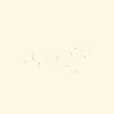 CC1=CN(C(=O)C2(C)CCC2)Cc2ccc(C(=O)NO)cc2O1